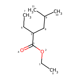 CCOC(=O)C(CC)CC(C)C